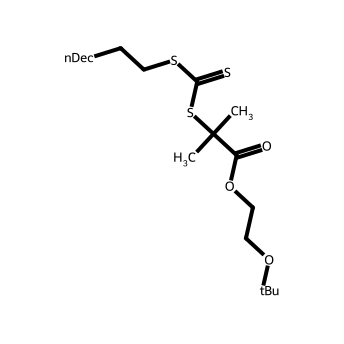 CCCCCCCCCCCCSC(=S)SC(C)(C)C(=O)OCCOC(C)(C)C